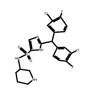 O=S(=O)(NC1CCCNC1)c1cnc(C(c2ccc(F)c(Cl)c2)c2ccc(F)c(Cl)c2)[nH]1